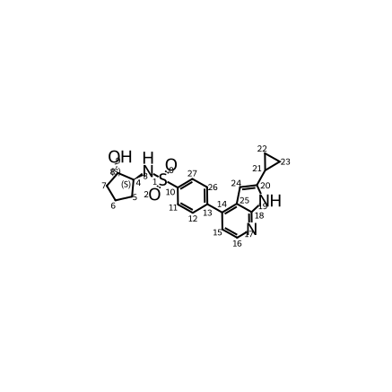 O=S(=O)(N[C@H]1CCC[C@@H]1O)c1ccc(-c2ccnc3[nH]c(C4CC4)cc23)cc1